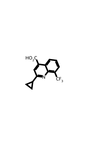 O=C(O)c1cc(C2CC2)nc2c(C(F)(F)F)cccc12